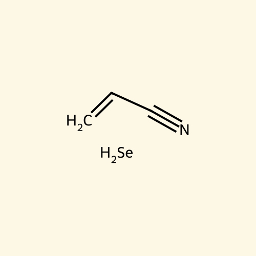 C=CC#N.[SeH2]